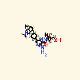 CC(C)N1C[C@H]2C#CC[C@@]2(c2ccc(-c3cnc(N)c(C(=O)NC45CC(CO)([C@H]4C)[C@H]5C)c3)cc2)C1